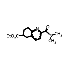 CCOC(=O)C1CCc2nc(C(=O)N(C)C)ccc2C1